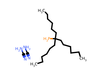 CCCCCCC(P)(CCCCCC)CCCCCC.N#CN.N#CN